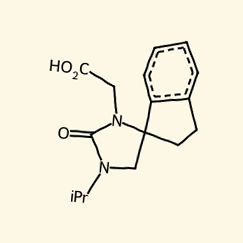 CC(C)N1CC2(CCc3ccccc32)N(CC(=O)O)C1=O